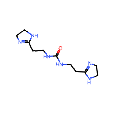 O=C(NCCC1=NCCN1)NCCC1=NCCN1